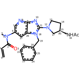 C=CC(=O)N(C)c1cnc2nc(N3CC[C@@H](NC(C)=O)C3)n(Cc3ccccc3)c2c1